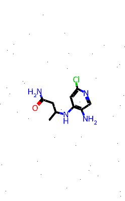 CC(CC(N)=O)Nc1cc(Cl)ncc1N